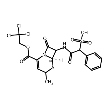 CC1C=C(C(=O)OCC(Cl)(Cl)Cl)N2C(=O)C(NC(=O)C(c3ccccc3)S(=O)(=O)O)[C@H]2S1